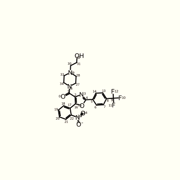 O=C(c1nc(-c2ccc(C(F)(F)F)cc2)oc1-c1ccccc1[N+](=O)[O-])N1CCN(CCO)CC1